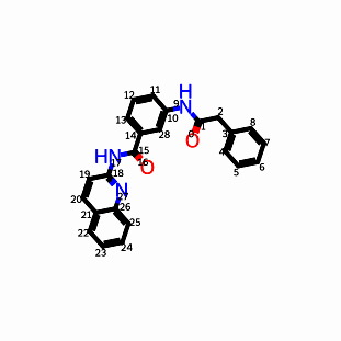 O=C(Cc1ccccc1)Nc1cccc(C(=O)Nc2ccc3ccccc3n2)c1